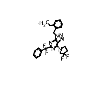 [CH2]Cc1ccccc1Cn1nnc2c(N3CCC(F)(F)C3)nc(C(F)(F)c3ccccc3)nc21